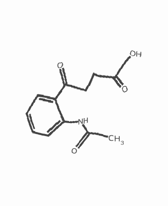 CC(=O)Nc1ccccc1C(=O)CCC(=O)O